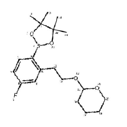 CC1(C)OB(c2ccc(F)cc2CCOC2CCCCO2)OC1(C)C